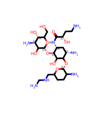 NCC[C@H](O)C(=O)N[C@@H]1C[C@H](N)C(O[C@H]2OC(CNCN)CCC2N)C(O)[C@H]1O[C@H]1OC(CO)[C@@H](O)[C@H](N)C1O